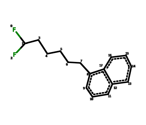 F[C](F)CCCCCc1cccc2ccccc12